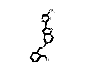 FC(F)(F)c1csc(-c2cc3cc(OCc4ccccc4CCl)ccc3o2)n1